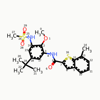 COc1c(NC(=O)c2cc3cccc(C)c3s2)cc(C(C)(C)C)cc1NS(C)(=O)=O